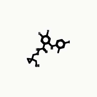 Cc1cc(I)ccc1Nc1cc(F)c(F)cc1C(=O)NOCC1(CO)CC1